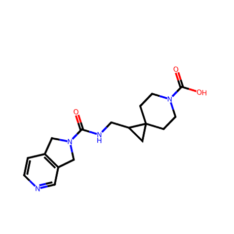 O=C(O)N1CCC2(CC1)CC2CNC(=O)N1Cc2ccncc2C1